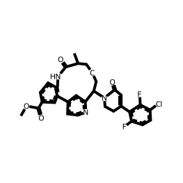 COC(=O)c1ccc2c(c1)-c1ccnc(c1)C(N1CCC(c3c(F)ccc(Cl)c3F)=CC1=O)CCCC(C)C(=O)N2